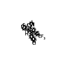 O=C(c1ncccc1C(F)(F)F)N1CCC[C@@](Oc2csc(C(F)(F)F)c2)(C(=O)N2CCc3cc(Cl)ccc3C2)[C@H]1CCNC1CCOCC1